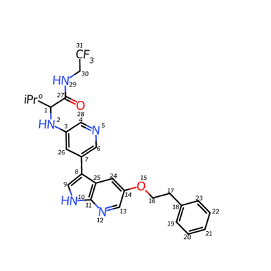 CC(C)C(Nc1cncc(-c2c[nH]c3ncc(OCCc4ccccc4)cc23)c1)C(=O)NCC(F)(F)F